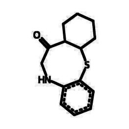 O=C1CNc2ccccc2SC2CCCCC12